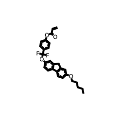 C=CC(=O)Oc1ccc(C(F)(F)Oc2ccc3c(c2)Cc2cc(OCCCCC)ccc2-3)cc1